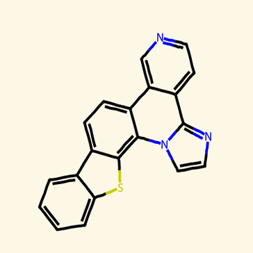 c1ccc2c(c1)sc1c2ccc2c3cnccc3c3nccn3c21